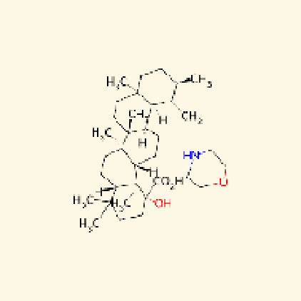 C1COCCN1.C[C@@H]1[C@H]2[C@H]3CC[C@@H]4[C@]5(C)[C@@H](CC[C@@]4(C)[C@]3(C)CC[C@@]2(C)CC[C@H]1C)C(C)(C)CCC5(O)C(=O)O